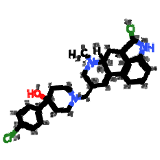 CN1C[C@H](CN2CCC(O)(c3ccc(Cl)cc3)CC2)C=C2c3cccc4[nH]c(Cl)c(c34)C[C@H]21